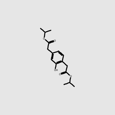 CC(C)OC(=O)Cc1ccc(CC(=O)OC(C)C)c(O)c1